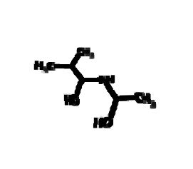 CC(O)NC(O)C(C)C